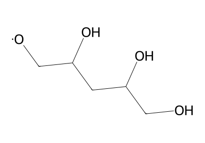 [O]CC(O)CC(O)CO